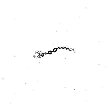 CCCCCCCCCc1ccc(-c2ccc(COc3ccc(OC(C)C(=O)O)cc3)cc2)cc1